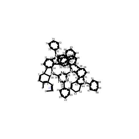 C/C=C\C1=C(C)C=CC2c3ccc4c(c3N(c3nc(-c5ccccc5)nc(-n5c6c7ccccc7ccc6c6ccc7c(c8c(n7-c7ccccc7)CCC=C8)c65)n3)C12)c1ccc2ccccc2c1n4-c1ccccc1